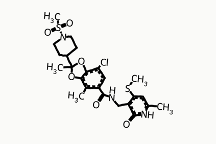 CSc1cc(C)[nH]c(=O)c1CNC(=O)c1cc(Cl)c2c(c1C)OC(C)(C1CCN(S(C)(=O)=O)CC1)O2